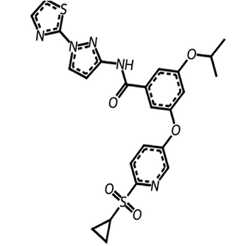 CC(C)Oc1cc(Oc2ccc(S(=O)(=O)C3CC3)nc2)cc(C(=O)Nc2ccn(-c3nccs3)n2)c1